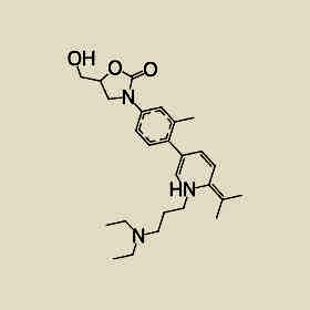 C/C=C(\C=C/C(NCCCN(CC)CC)=C(C)C)c1ccc(N2CC(CO)OC2=O)cc1C